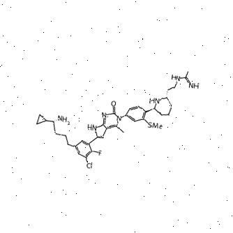 CSc1cc(-n2c(C)c3cc(-c4cc(CCC[C@@H](N)C5CC5)cc(Cl)c4F)[nH]c3nc2=O)ccc1[C@@H]1CCC[C@@H](CCNC(C)=N)N1